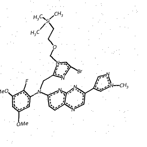 COc1cc(OC)c(F)c(N(Cc2nc(Br)cn2COCC[Si](C)(C)C)c2ccc3ncc(-c4cnn(C)c4)nc3n2)c1